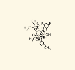 CCCC(CCC)S(=O)(=O)CC(CN1C(=O)NC(C)(C)C1=O)C(=O)N[C@@H](Cc1cc(F)cc(F)c1)[C@@H](O)CNCc1cccc(CC)c1